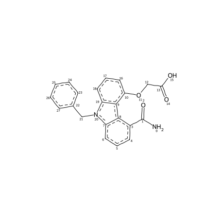 NC(=O)c1cccc2c1c1c(OCC(=O)O)cccc1n2Cc1ccccc1